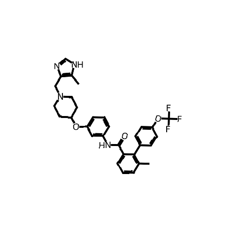 Cc1cccc(C(=O)Nc2cccc(OC3CCN(Cc4nc[nH]c4C)CC3)c2)c1-c1ccc(OC(F)(F)F)cc1